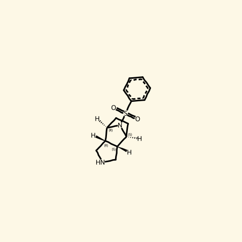 O=S(=O)(c1ccccc1)N1[C@@H]2CC[C@H]1[C@@H]1CNC[C@@H]12